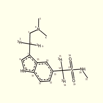 [2H]C([2H])(CN(C)C)c1c[nH]c2ccc(C([2H])([2H])S(=O)(=O)NC)cc12